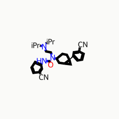 CC(C)N(CCN(C(=O)Nc1cccc(C#N)c1)C1CC[C@]2(c3cccc(C#N)c3)CC2C1)C(C)C